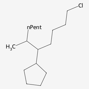 CCCCCC(C)C(CCCCCl)C1CCCC1